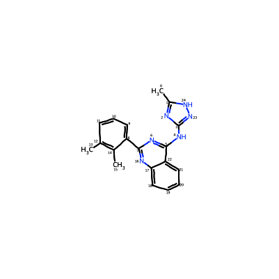 Cc1nc(Nc2nc(-c3cccc(C)c3C)nc3ccccc23)n[nH]1